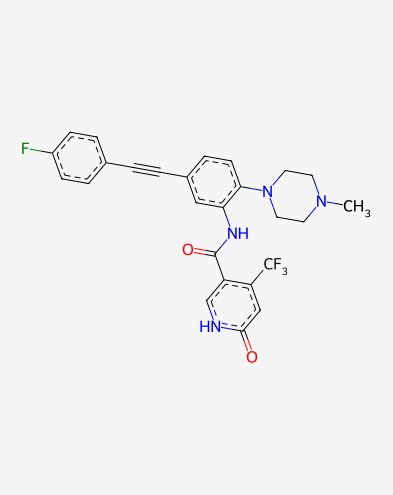 CN1CCN(c2ccc(C#Cc3ccc(F)cc3)cc2NC(=O)c2c[nH]c(=O)cc2C(F)(F)F)CC1